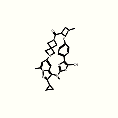 Cc1cc(N2CC3(CN(C(=O)C4CN(C)C4)C3)C2)cc2c(N(C)c3nc(-c4ccc(F)cc4)c(C#N)s3)c(C3CC3)nn12